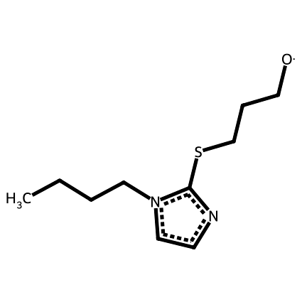 CCCCn1ccnc1SCCC[O]